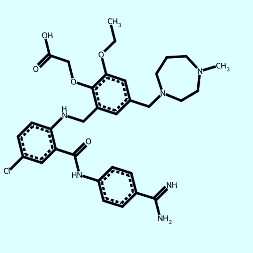 CCOc1cc(CN2CCCN(C)CC2)cc(CNc2ccc(Cl)cc2C(=O)Nc2ccc(C(=N)N)cc2)c1OCC(=O)O